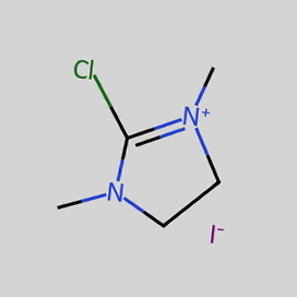 CN1CC[N+](C)=C1Cl.[I-]